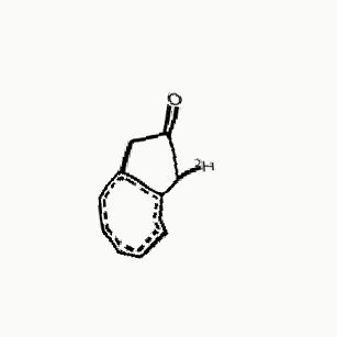 [2H]C1C(=O)Cc2ccccc21